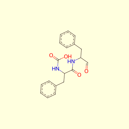 O=CC(Cc1ccccc1)NC(=O)C(Cc1ccccc1)NC(=O)O